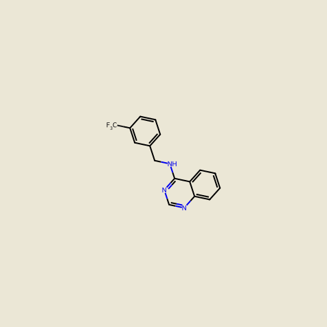 FC(F)(F)c1cccc(CNc2ncnc3ccccc23)c1